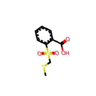 CSCS(=O)(=O)c1ccccc1C(=O)O